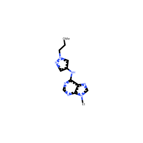 CCn1cnc2c(Nc3cnn(CCOC)c3)ncnc21